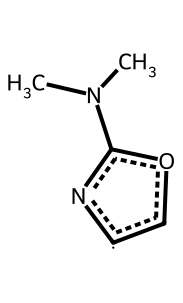 CN(C)c1n[c]co1